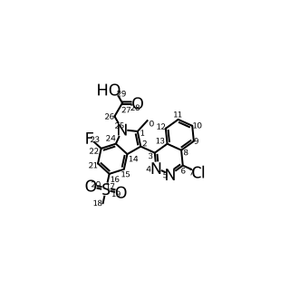 Cc1c(-c2nnc(Cl)c3ccccc23)c2cc(S(C)(=O)=O)cc(F)c2n1CC(=O)O